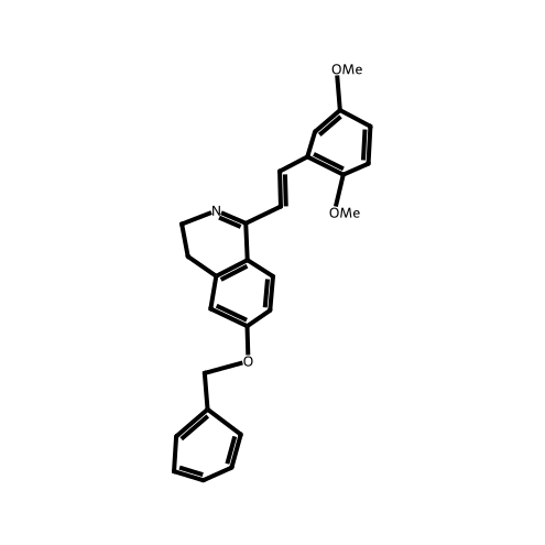 COc1ccc(OC)c(C=CC2=NCCc3cc(OCc4ccccc4)ccc32)c1